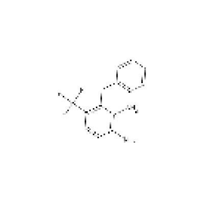 Nc1ccc(C(F)(F)F)c(Cc2ccccc2)c1N